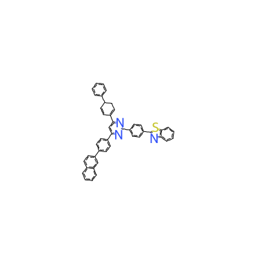 C1=CC(c2ccccc2)CC=C1c1cc(-c2ccc(-c3ccc4ccccc4c3)cc2)nc(-c2ccc(-c3nc4ccccc4s3)cc2)n1